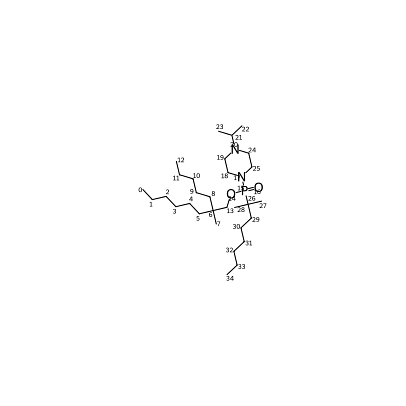 CCCCCCC(C)(CCCCC)COP(=O)(N1CCN(C(C)C)CC1)C(C)(C)CCCCCC